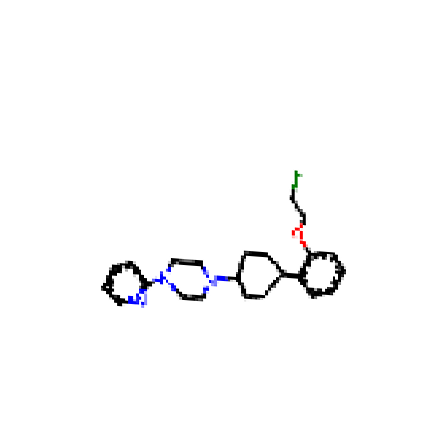 FCCOc1ccccc1C1CCC(N2CCN(c3ccccn3)CC2)CC1